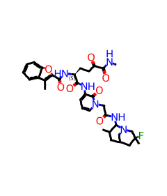 CNC(=O)C(=O)CC[C@H](NC(=O)c1oc2ccccc2c1C)C(=O)Nc1cccn(CC(=O)NC2C(C)CC3CN2CC(C)(F)C3)c1=O